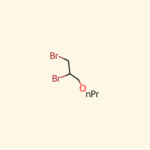 CCCOCC(Br)CBr